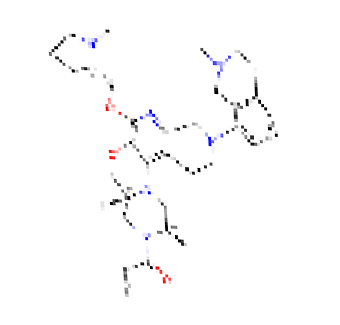 C=CC(=O)N1C[C@@H]2COc3c(OC[C@@H]4CCCN4C)nc4c(c3N2C[C@H]1C)CCN(c1cccc2c1CN(C)CC2)C4